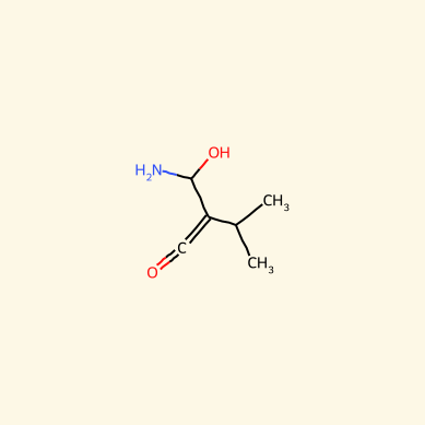 CC(C)C(=C=O)C(N)O